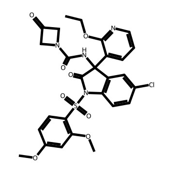 CCOc1ncccc1C1(NC(=O)N2CC(=O)C2)C(=O)N(S(=O)(=O)c2ccc(OC)cc2OC)c2ccc(Cl)cc21